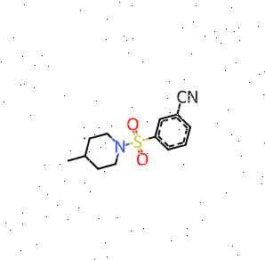 CC1[CH]CN(S(=O)(=O)c2cccc(C#N)c2)CC1